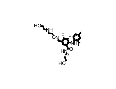 O=C(NOCCO)c1cc(C=NOCCNCCO)c(F)c(F)c1Nc1ccc(I)cc1F